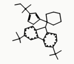 CCC(C)(C)C1=CCC(C2(C3c4ccc(C(C)(C)C)cc4-c4cc(C(C)(C)C)ccc43)CCCCC2)=C1